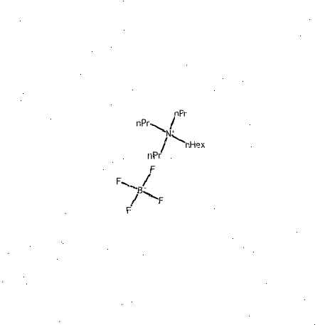 CCCCCC[N+](CCC)(CCC)CCC.F[B-](F)(F)F